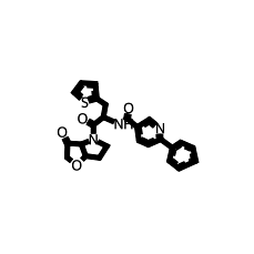 O=C(NC(Cc1cccs1)C(=O)N1CCC2OCC(=O)C21)c1ccc(-c2ccccc2)nc1